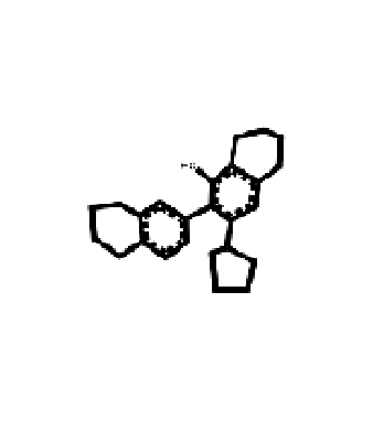 Oc1c2c(cc(C3CCCC3)c1-c1ccc3c(c1)CCCC3)CCCC2